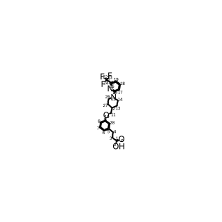 O=C(O)CCc1cccc(OCC2CCN(c3cccc(C(F)(F)F)n3)CC2)c1